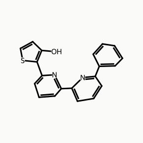 Oc1ccsc1-c1cccc(-c2cccc(-c3ccccc3)n2)n1